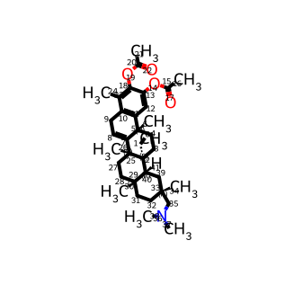 CC[C@@]12CC[C@]3(C)C(=CCc4c3cc(OC(C)=O)c(OC(C)=O)c4C)[C@@]1(C)CC[C@@]1(C)CC[C@@](C)(CN(C)C)C[C@H]12